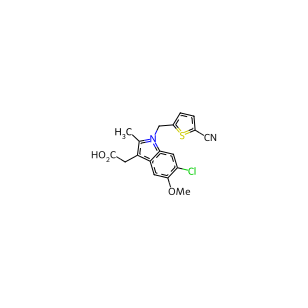 COc1cc2c(CC(=O)O)c(C)n(Cc3ccc(C#N)s3)c2cc1Cl